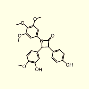 COc1ccc(C2C(c3ccc(O)cc3)C(=O)N2c2cc(OC)c(OC)c(OC)c2)cc1O